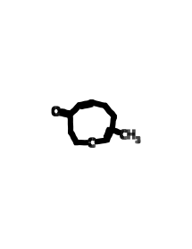 C/C1=C/CCCC(=O)/C=C\CC1